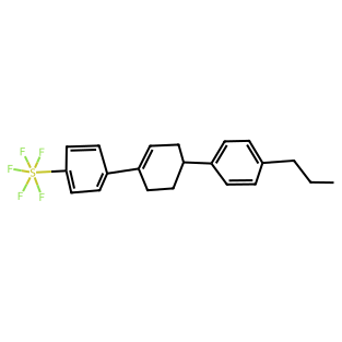 CCCc1ccc(C2CC=C(c3ccc(S(F)(F)(F)(F)F)cc3)CC2)cc1